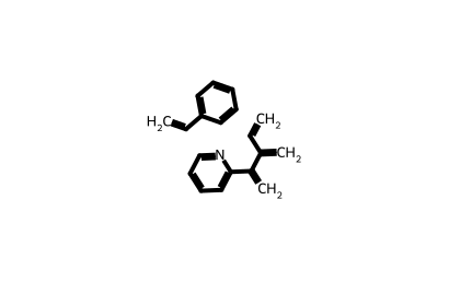 C=CC(=C)C(=C)c1ccccn1.C=Cc1ccccc1